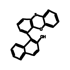 Oc1ccc2ccccc2c1-c1cccc2c1Oc1ccccc1S2